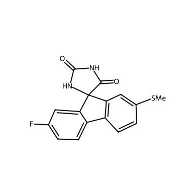 CSc1ccc2c(c1)C1(NC(=O)NC1=O)c1cc(F)ccc1-2